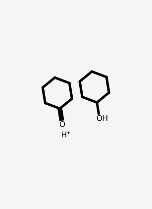 O=C1CCCCC1.OC1CCCCC1.[H+]